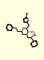 CC(=O)c1ccc(CC[C@H](C)N(C[C@H](O)COc2ccccc2)C[C@@H](O)c2ccccc2)s1